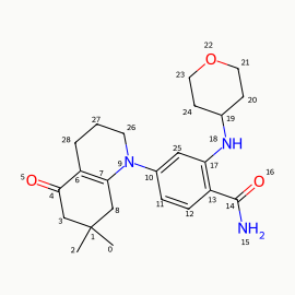 CC1(C)CC(=O)C2=C(C1)N(c1ccc(C(N)=O)c(NC3CCOCC3)c1)CCC2